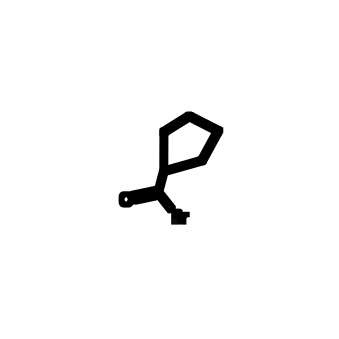 O=C(Br)C1CCCC1